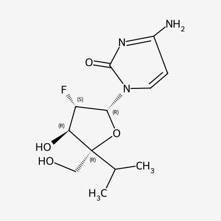 CC(C)[C@]1(CO)O[C@@H](n2ccc(N)nc2=O)[C@@H](F)[C@@H]1O